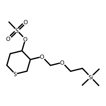 C[Si](C)(C)CCOCOC1CSCCC1OS(C)(=O)=O